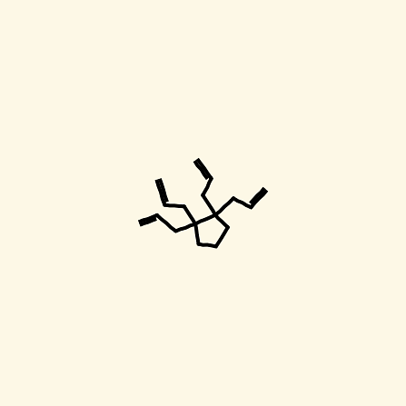 C=CCC1(CC=C)CCCC1(CC=C)CC=C